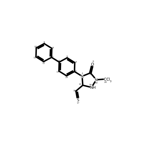 O=C1N(c2ccc(-c3ccccc3)cc2)C(C=S)NN1C(Cl)(Cl)Cl